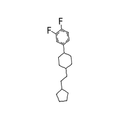 Fc1ccc(C2CCC(CCC3CCCC3)CC2)cc1F